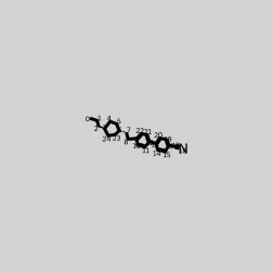 CCC[C@H]1CC[C@H](CCc2ccc(-c3ccc(C#N)cc3)cc2)CC1